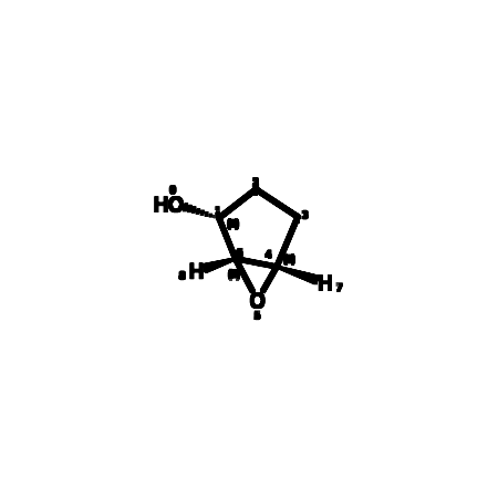 O[C@@H]1[CH][CH][C@@H]2O[C@H]12